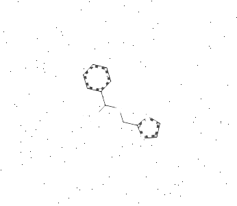 O=C(O)C(OCc1ncc[nH]1)c1ccccc1